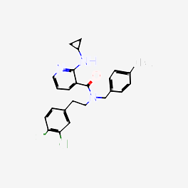 CC(C)(C)c1ccc(CN(CCc2ccc(Cl)c(Cl)c2)C(=O)c2cccnc2NC2CC2)cc1